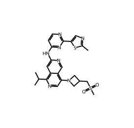 Cc1ncc(-c2nccc(Nc3cc4c(C(C)C)ncc(N5CC(CS(C)(=O)=O)C5)c4cn3)n2)s1